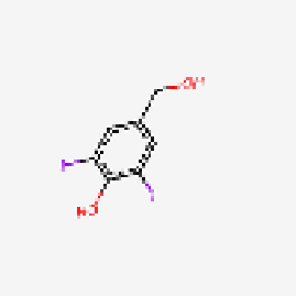 OCc1cc(I)c(O)c(I)c1